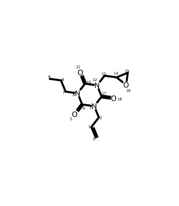 C=CCn1c(=O)n(CCC)c(=O)n(CC2CO2)c1=O